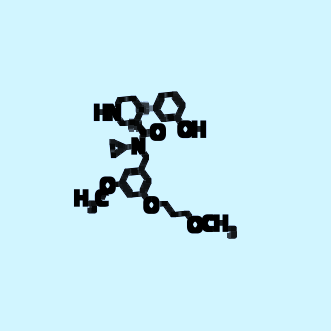 COCCCOc1cc(CN(C(=O)[C@H]2CNCC[C@@H]2c2cccc(O)c2)C2CC2)cc(OC)c1